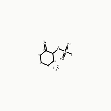 CS(=O)(=O)OC1CCCCC1=O.S